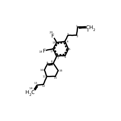 C=CCCc1ccc(C2=CCC(CC=C)CC2)c(F)c1F